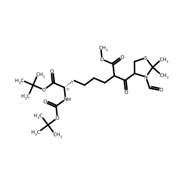 COC(=O)C(CCCC[C@H](NC(=O)OC(C)(C)C)C(=O)OC(C)(C)C)C(=O)C1CSC(C)(C)N1C=O